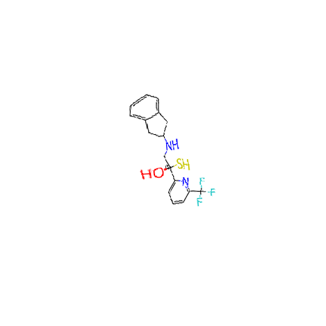 O[C@](S)(CNC1Cc2ccccc2C1)c1cccc(C(F)(F)F)n1